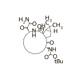 CC(C)(C)OC(=O)N[C@H]1CCCCCCCC[C@@H](C(=O)C(N)=O)NC(=O)[C@H]2C(C[C@H]3[C@@H]2C3(C)C)C1=O